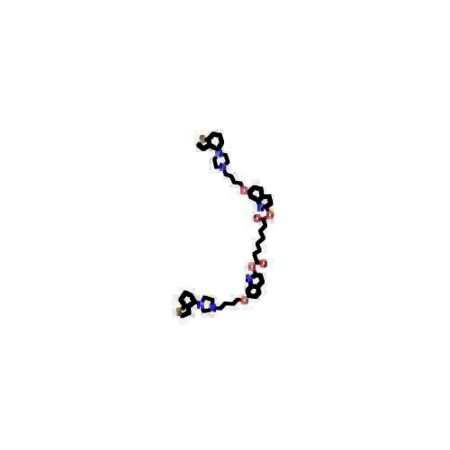 O=C(CCCCCCC(=O)Oc1ccc2ccc(OCCCCN3CCN(c4cccc5sccc45)CC3)cc2n1)Oc1ccc2ccc(OCCCCN3CCN(c4cccc5sccc45)CC3)cc2n1